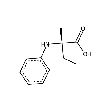 CC[C@](C)(Nc1ccccc1)C(=O)O